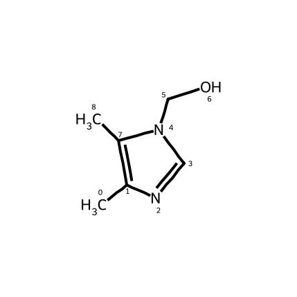 Cc1ncn(CO)c1C